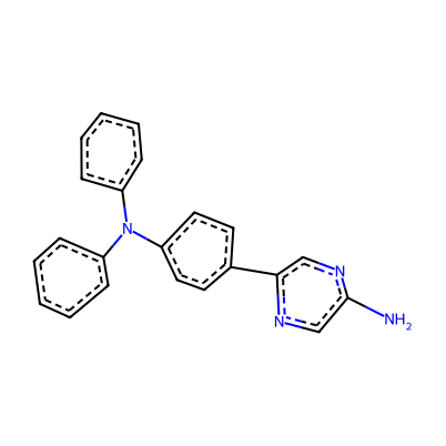 Nc1cnc(-c2ccc(N(c3ccccc3)c3ccccc3)cc2)cn1